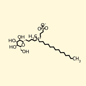 CCCCCCCCCCCCCC[N+](C)(CCCC[C@@H]1O[C@H](CO)[C@@H](O)[C@H](O)[C@H]1O)CCCS(=O)(=O)[O-]